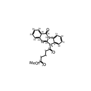 COC(=O)CCCC(=O)n1c2ccccc2n2c(=O)c3ccccc3nc12